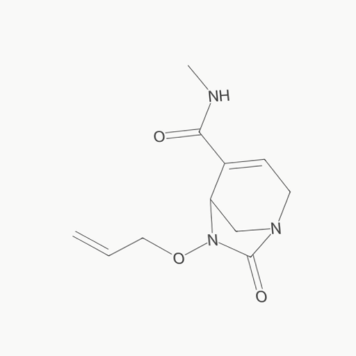 C=CCON1C(=O)N2CC=C(C(=O)NC)C1C2